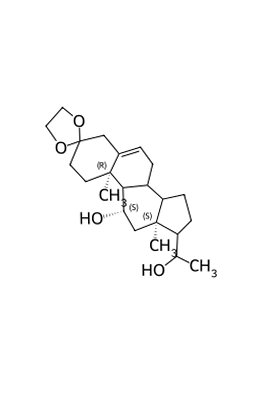 CC(O)C1CCC2C3CC=C4CC5(CC[C@]4(C)C3[C@@H](O)C[C@]12C)OCCO5